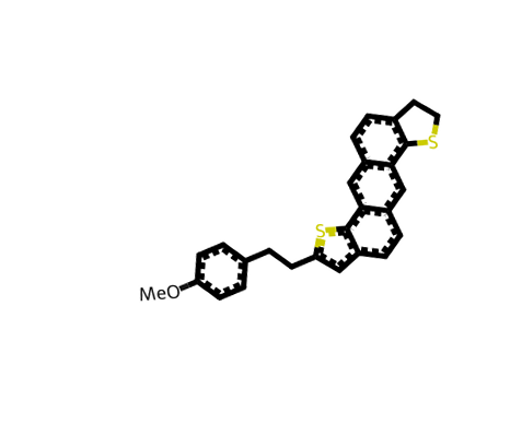 COc1ccc(CCc2cc3ccc4cc5c6c(ccc5cc4c3s2)CCS6)cc1